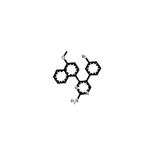 COc1ccc(-c2nc(N)ncc2-c2cccc(Br)c2)c2ccccc12